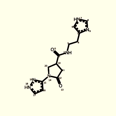 O=C(NCCc1c[nH]cn1)C1CC(=O)N(c2cc[nH]n2)C1